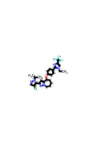 CCn1cc(C(F)(F)F)nc1-c1ccc(OC2CCCCn3nc(-c4c(Cl)cnn4C(C)C)cc32)cc1